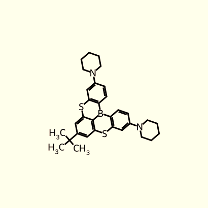 CC(C)(C)c1cc2c3c(c1)Sc1cc(N4CCCCC4)ccc1B3c1ccc(N3CCCCC3)cc1S2